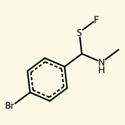 CNC(SF)c1ccc(Br)cc1